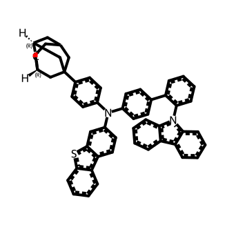 c1ccc(-n2c3ccccc3c3ccccc32)c(-c2ccc(N(c3ccc(C45CC6CC[C@H](C[C@@H](C6)C4)C5)cc3)c3ccc4c(c3)sc3ccccc34)cc2)c1